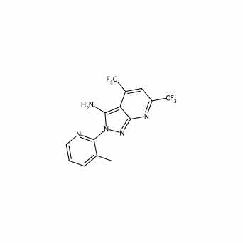 Cc1cccnc1-n1nc2nc(C(F)(F)F)cc(C(F)(F)F)c2c1N